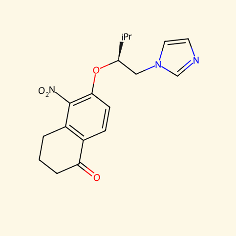 CC(C)[C@@H](Cn1ccnc1)Oc1ccc2c(c1[N+](=O)[O-])CCCC2=O